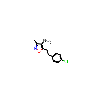 Cc1noc(CCc2ccc(Cl)cc2)c1[N+](=O)[O-]